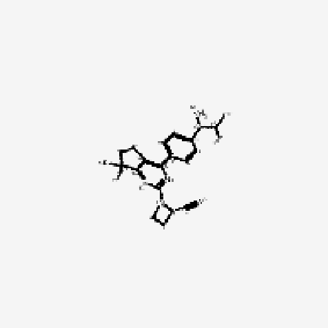 N#C[C@H]1CCN1c1nc(-c2ccc([C@@H](N)C(F)F)cc2)c2c(n1)C(F)(F)CC2